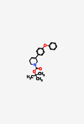 CC(C)(C)OC(=O)N1CCC=C(c2ccc(Oc3ccccc3)cc2)C1